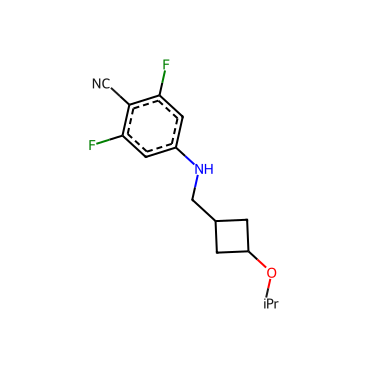 CC(C)OC1CC(CNc2cc(F)c(C#N)c(F)c2)C1